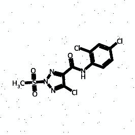 CS(=O)(=O)n1nc(Cl)c(C(=O)Nc2ccc(Cl)cc2Cl)n1